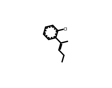 CC/C=C(\C)c1ccccc1Cl